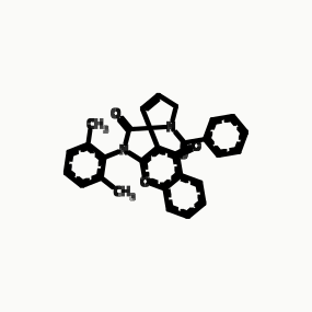 Cc1cccc(C)c1N1C(=O)C2(C=CCN2C(=O)c2ccccc2)c2c1oc1ccccc1c2=O